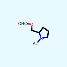 CC(=O)N1CCCC1COC=O